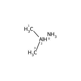 N.[CH3][AlH][CH3]